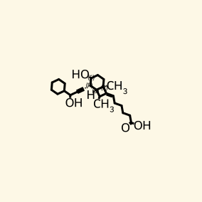 CC1C(=CCCCCC(=O)O)[C@]2(C)CC[C@H](O)[C@@H](C#CC(O)C3CCCCC3)[C@H]12